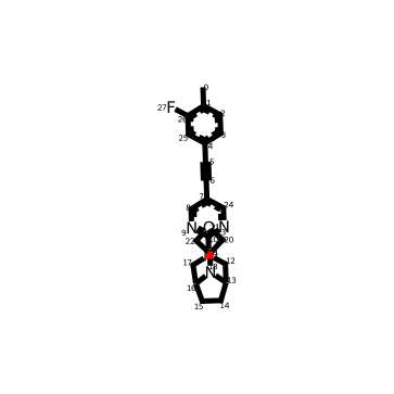 Cc1ccc(C#Cc2cnc(N3CC4CCC(C3)N4C3COC3)nc2)cc1F